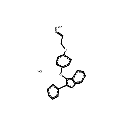 CCCCCCN=CCOc1ccc(Oc2c(-c3ccccc3)sc3ccccc23)cc1.Cl